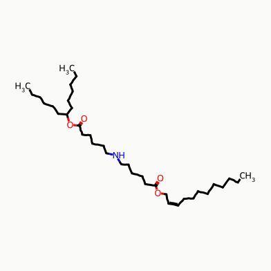 CCCCCCCCC/C=C\COC(=O)CCCCCNCCCCCC(=O)OC(CCCCCC)CCCCCC